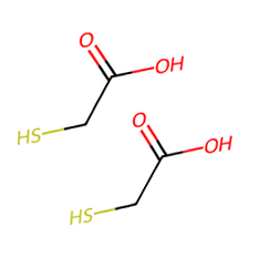 O=C(O)CS.O=C(O)CS